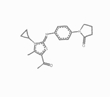 CC(=O)c1s/c(=N\c2ccc(N3CCCC3=O)cc2)n(C2CC2)c1C